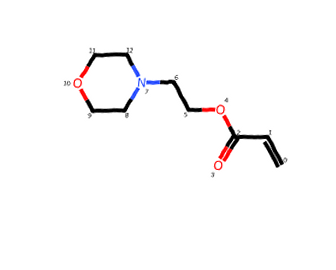 C=CC(=O)OCCN1CCOCC1